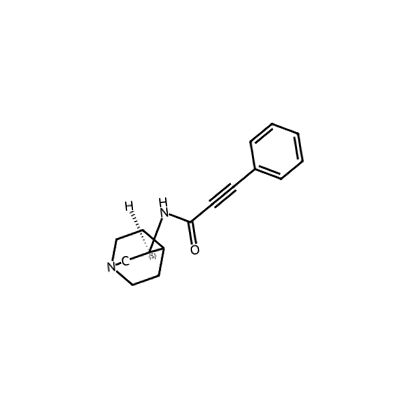 O=C(C#Cc1ccccc1)N[C@@H]1CN2CCC1CC2